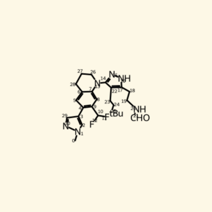 Cn1cc(-c2cc3c(cc2C(F)F)N(c2n[nH]c(CCNC=O)c2CCC(C)(C)C)CCC3)cn1